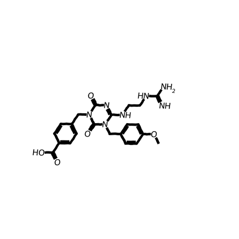 COc1ccc(Cn2c(NCCNC(=N)N)nc(=O)n(Cc3ccc(C(=O)O)cc3)c2=O)cc1